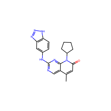 Cc1cc(=O)n(C2CCCC2)c2nc(Nc3ccc4[nH]nnc4c3)ncc12